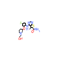 Cc1c(C(N)=O)sc2ncnc(Nc3ccc(F)cc3O[C@@H]3CCCN(CCO)C3)c12